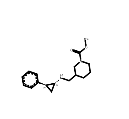 CC(C)(C)OC(=O)N1CCCC(CN[C@@H]2C[C@H]2c2ccccc2)C1